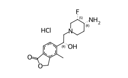 Cc1c([C@@H](O)CN2CC[C@@H](N)[C@@H](F)C2)ccc2c1COC2=O.Cl